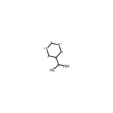 SC(S)C1CSCSC1